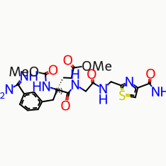 COC(=O)CC[C@](Cc1cccc(C(=N)N)c1)(NC(=O)OC)C(=O)NCC(=O)NCc1nc(C(N)=O)cs1